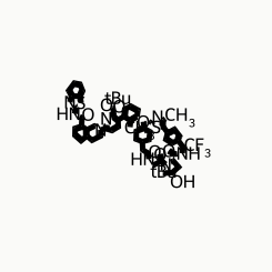 Cc1ncsc1-c1ccc([C@H](NC(=O)[C@@H]2C[C@@H](O)CN2C(=O)[C@@H](NC(=O)CC2CCC(Oc3cccc(-c4ccc(N5CCc6cccc(C(=O)Nc7nc8ccccc8s7)c6C5)nc4C(=O)OC(C)(C)C)c3C)CC2)C(C)(C)C)C(F)(F)F)cc1